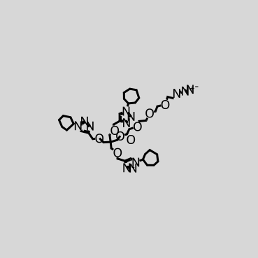 [N-]=[N+]=NCCOCCOCCOCC(=O)OCC(COCc1cn(C2CCCCCC2)nn1)(COCc1cn(C2CCCCCC2)nn1)COCc1cn(C2CCCCC2)nn1